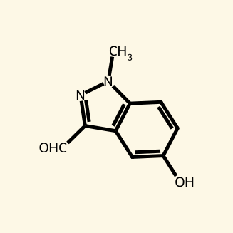 Cn1nc(C=O)c2cc(O)ccc21